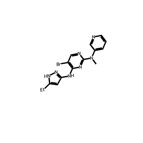 CCc1cc(Nc2nc(N(C)c3cccnc3)ncc2Br)n[nH]1